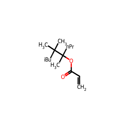 C=CC(=O)OC(C)(CCC)C(C)(C)C(C)CC